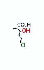 C[C@H](C(=O)O)[C@H](O)CCCCl